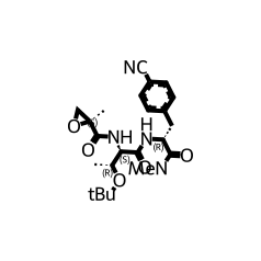 CNC(=O)[C@@H](Cc1ccc(C#N)cc1)NC(=O)[C@@H](NC(=O)[C@]1(C)CO1)[C@@H](C)OC(C)(C)C